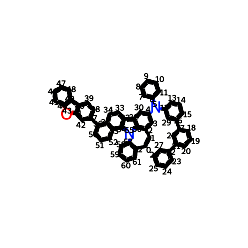 C1=Cc2cc(N(c3ccccc3)c3cccc(-c4cccc(-c5ccccc5)c4)c3)cc3c4ccc5c(-c6ccc7c(c6)oc6ccccc67)cccc5c4n(c23)-c2ccccc21